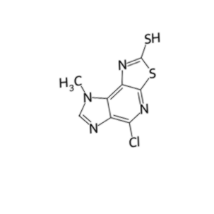 Cn1cnc2c(Cl)nc3sc(S)nc3c21